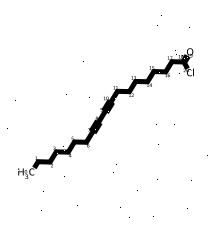 CCCCCCCC#CC#CCCCCCCCC(=O)Cl